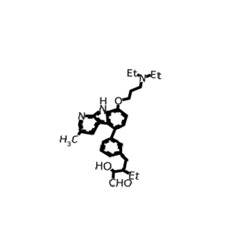 CCC(Cc1cccc(-c2ccc(OCCCN(CC)CC)c3[nH]c4ncc(C)cc4c23)c1)C(O)C=O